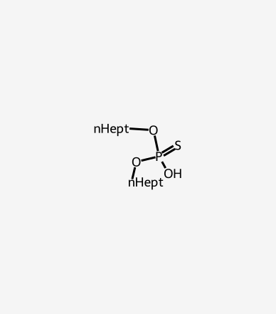 CCCCCCCOP(O)(=S)OCCCCCCC